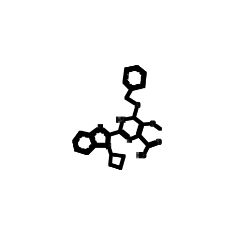 COC1=C(C(=O)O)N=C(c2nc3ccccc3n2C2CCC2)NC1OCc1ccccc1